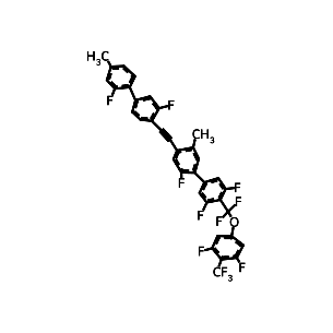 Cc1ccc(-c2ccc(C#Cc3cc(F)c(-c4cc(F)c(C(F)(F)Oc5cc(F)c(C(F)(F)F)c(F)c5)c(F)c4)cc3C)c(F)c2)c(F)c1